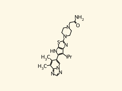 Cc1c(-c2[nH]c3sc(N4CCN(CC(N)=O)CC4)nc3c2C(C)C)cn2ncnc2c1C